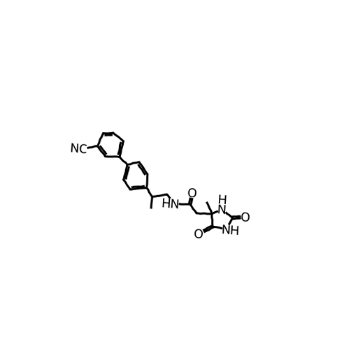 CC(CNC(=O)CC1(C)NC(=O)NC1=O)c1ccc(-c2cccc(C#N)c2)cc1